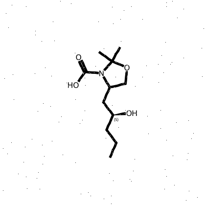 CCC[C@H](O)CC1COC(C)(C)N1C(=O)O